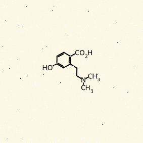 CN(C)CCc1cc(O)ccc1C(=O)O